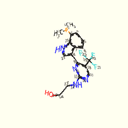 CP(C)c1cccc2c(-c3nc(NCCO)ncc3C(F)(F)F)c[nH]c12